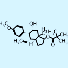 C=C[C@@H]1[C@H](c2ccc(OC)cc2)[C@H](O)C[C@]2(C)[C@@H](OC(=O)C(C)(C)C)CC[C@@H]12